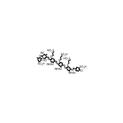 CC(=O)Nc1cc(N=Nc2cc(SCCCS(=O)(=O)O)c(N=Nc3cc(OCCCS(=O)(=O)O)c(N=Nc4c(C)c(C#N)c5nc6c(C)cc(S(=O)(=O)O)cc6n5c4O)cc3NC(C)=O)cc2NC(C)=O)c(SCCCS(=O)(=O)O)cc1N=Nc1ccc(Cl)c(S(=O)(=O)O)c1